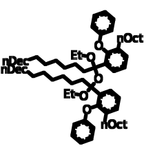 CCCCCCCCCCCCCCCCC(OCC)(OC(CCCCCCCCCCCCCCCC)(OCC)c1cccc(CCCCCCCC)c1Oc1ccccc1)c1cccc(CCCCCCCC)c1Oc1ccccc1